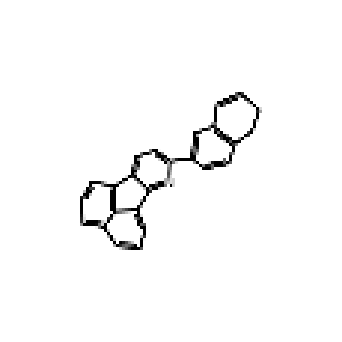 C1=Cc2cc(-c3ccc4c(n3)-c3cccc5cccc-4c35)ccc2CC1